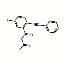 C=C(C)CC(=O)c1cc(F)ccc1C#Cc1ccccc1